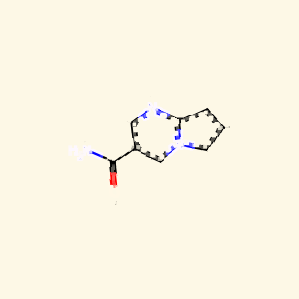 NC(=O)c1cnc2cccn2c1.[H+]